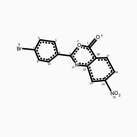 O=c1oc(-c2ccc(Br)cc2)nc2cc([N+](=O)[O-])ccc12